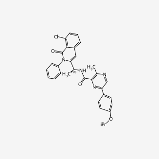 Cc1ncc(-c2ccc(OC(C)C)cc2)nc1C(=O)N[C@@H](C)c1cc2cccc(Cl)c2c(=O)n1-c1ccccc1